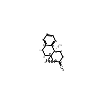 O=C1CC[C@@H]2c3ccccc3CC[C@H]2N1